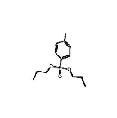 CCCOP(=O)(OCCC)c1ccc(C)cc1